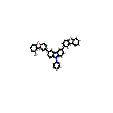 Brc1cccc2oc3ccc(-c4ccc5c(c4)c4cc(-c6ccc7sc8ccccc8c7c6)ccc4n5-c4ccccc4)cc3c12